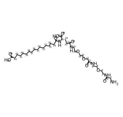 NCC(=O)NCCOCCNC(=O)COCCOCCNC(=O)CC[C@H](NC(=O)CCCCCCCCCCCCCCCC(=O)O)C(=O)O